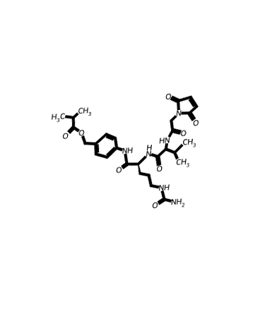 CC(C)C(=O)OCc1ccc(NC(=O)[C@H](CCCNC(N)=O)NC(=O)C(NC(=O)CN2C(=O)C=CC2=O)C(C)C)cc1